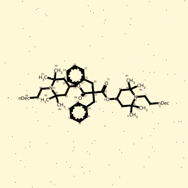 CCCCCCCCCCCCN1C(C)(C)CC(OC(=O)C(Cc2ccccc2)(Cc2ccccc2)C(=O)OC2CC(C)(C)N(CCCCCCCCCCCC)C(C)(C)C2)CC1(C)C